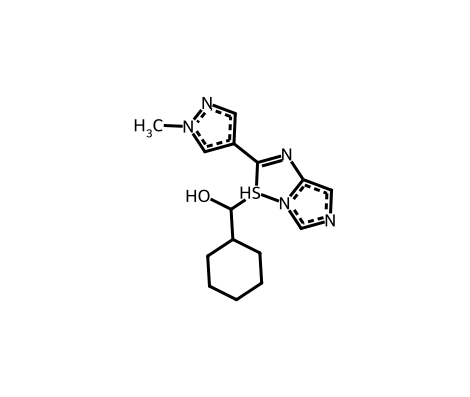 Cn1cc(C2=Nc3cncn3[SH]2C(O)C2CCCCC2)cn1